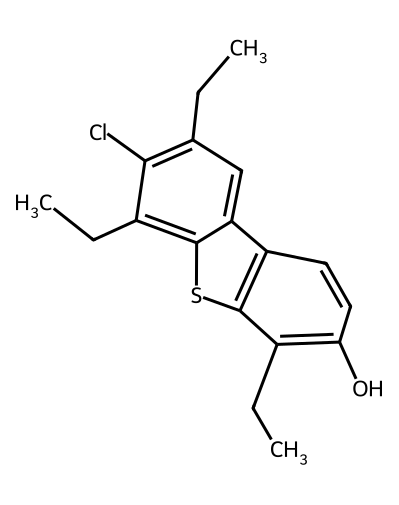 CCc1cc2c(sc3c(CC)c(O)ccc32)c(CC)c1Cl